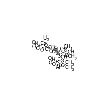 CC(C)OC(OC(C)C)C(=O)CC(=O)CC(=O)[O-].CC(C)OC(OC(C)C)C(=O)CC(=O)CC(=O)[O-].CC(C)OC(OC(C)C)C(=O)CC(=O)CC(=O)[O-].[Al+3]